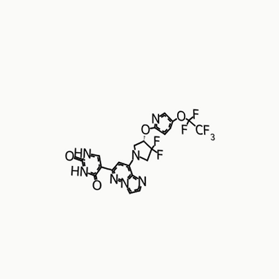 O=c1[nH]cc(-c2cc(N3C[C@H](Oc4ccc(OC(F)(F)C(F)(F)F)cn4)C(F)(F)C3)c3nccn3n2)c(=O)[nH]1